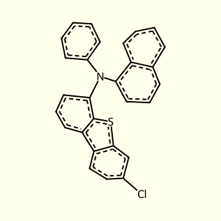 Clc1ccc2c(c1)sc1c(N(c3ccccc3)c3cccc4ccccc34)cccc12